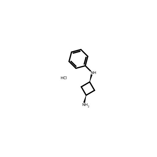 Cl.N[C@H]1C[C@@H](Nc2ccccc2)C1